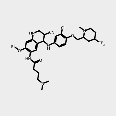 CCOc1cc2c(cc1NC(=O)CCCN(C)C)C(Nc1ccc(OCC3CC(C(F)(F)F)CCN3C)c(Cl)c1)C(C#N)CN2